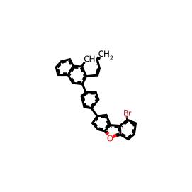 C=C/C=C\c1c(-c2ccc(-c3ccc4oc5cccc(Br)c5c4c3)cc2)cc2ccccc2c1C